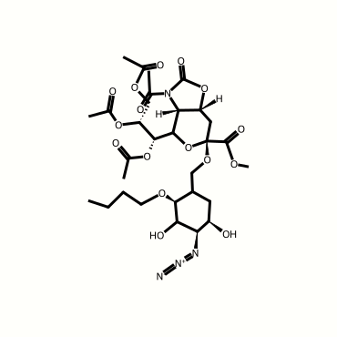 CCCCO[C@H]1C(CO[C@]2(C(=O)OC)C[C@H]3OC(=O)N(C(C)=O)[C@H]3C([C@H](OC(C)=O)[C@@H](COC(C)=O)OC(C)=O)O2)C[C@@H](O)[C@@H](N=[N+]=[N-])C1O